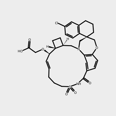 O=C(O)CO[C@@H]1/C=C/CCCS(=O)(=O)NC(=O)c2ccc3c(c2)N(C[C@@H]2CC[C@H]21)C[C@@]1(CCCc2cc(Cl)ccc21)CO3